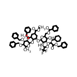 C=CC1CC(C(=O)OC)C[C@@H](O[C@@H]2OC(COC(=O)c3ccccc3)[C@H](O)C(O[C@@H](CC3CCCCC3)C(=O)OCc3ccccc3)[C@H]2NC(=O)C(F)(F)F)C1OC1O[C@@H](C)C(OCc2ccccc2)C(OCc2ccccc2)[C@@H]1OCc1ccccc1